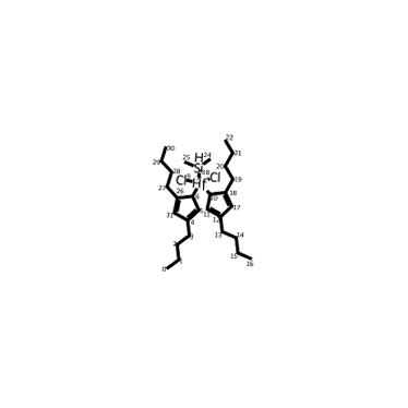 CCCCC1=C[CH]([Hf]([Cl])([Cl])([CH]2C=C(CCCC)C=C2CCCC)[SiH](C)C)C(CCCC)=C1